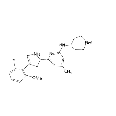 COc1cccc(F)c1C1=CNC(c2cc(C)cc(NC3CCNCC3)n2)C1